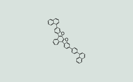 c1ccc2c(-c3ccc(-c4ccc5c(c4)oc4c6oc7cc(-c8cccc9ccccc89)ccc7c6c6ccccc6c54)cc3)cccc2c1